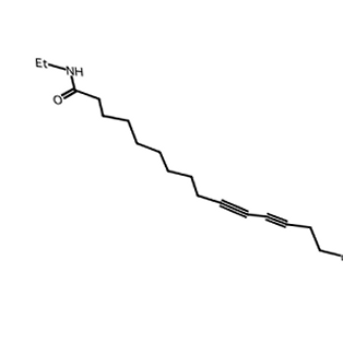 CCCCCCCCCCCCC#CC#CCCCCCCCCC(=O)NCC